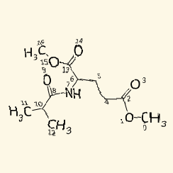 COC(=O)CCC(NC(=O)C(C)C)C(=O)OC